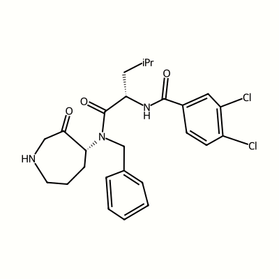 CC(C)C[C@H](NC(=O)c1ccc(Cl)c(Cl)c1)C(=O)N(Cc1ccccc1)[C@@H]1CCCNCC1=O